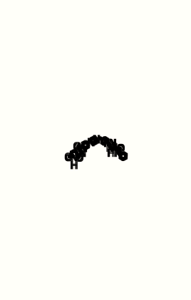 O=C1CCC(n2ncc3cc(N4CCN(CC5CCN(c6ncc(C(=O)NC7CCCCC7)cn6)CC5)CC4)ccc3c2=O)C(=O)N1